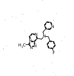 Cc1nnc2c(CN(Cc3ccc(F)cc3)Cc3cccnc3)nccn12